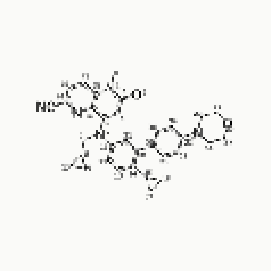 Cn1c(=O)cc(N(CC2CC2)c2ccc(C3CC3)c(-c3ccc(N4CCOCC4)cc3)c2)c2nc(C#N)ccc21